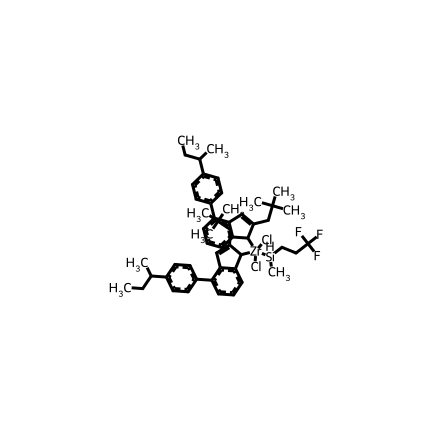 CCC(C)c1ccc(-c2cccc3c2C=C(CC(C)(C)C)[CH]3[Zr]([Cl])([Cl])([CH]2C(CC(C)(C)C)=Cc3c(-c4ccc(C(C)CC)cc4)cccc32)[SiH](C)CCC(F)(F)F)cc1